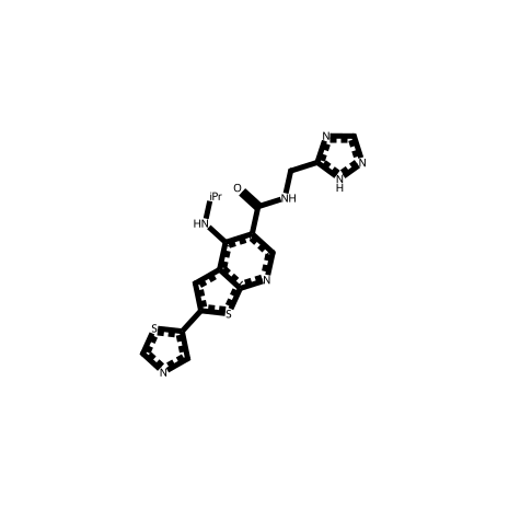 CC(C)Nc1c(C(=O)NCc2ncn[nH]2)cnc2sc(-c3cncs3)cc12